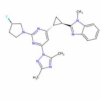 Cc1nc(C)n(-c2cc([C@@H]3C[C@H]3c3nc4ccccc4n3C)nc(N3CC[C@@H](F)C3)n2)n1